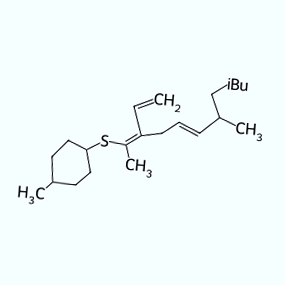 C=C/C(CC=CC(C)CC(C)CC)=C(/C)SC1CCC(C)CC1